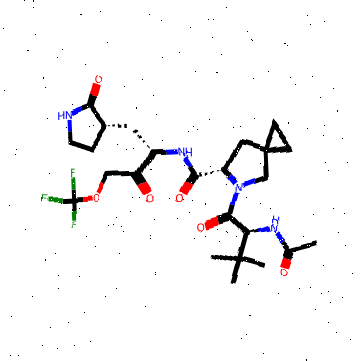 CC(=O)N[C@H](C(=O)N1CC2(CC2)C[C@H]1C(=O)N[C@@H](C[C@@H]1CCNC1=O)C(=O)COC(F)(F)F)C(C)(C)C